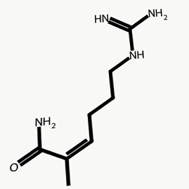 CC(=CCCCNC(=N)N)C(N)=O